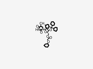 Cc1cn([C@H]2C[C@H](OC(c3ccccc3)(c3ccccc3)c3ccccc3)[C@@H](COC(=O)COc3ccccc3)O2)c(=O)[nH]c1=O